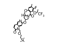 Cc1cc2c(c(O[C@H](C)C(F)(F)F)c1F)C(=O)N1C[C@@H](Oc3cc4c(ccc(=O)n4COCC[Si](C)(C)C)cn3)C[C@@H]1CO2